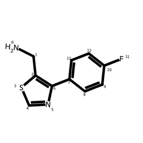 NCc1scnc1-c1ccc(F)cc1